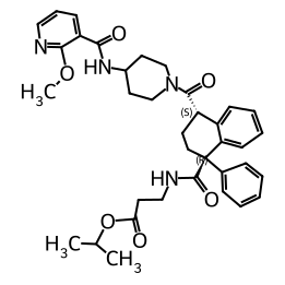 COc1ncccc1C(=O)NC1CCN(C(=O)[C@H]2CC[C@@](C(=O)NCCC(=O)OC(C)C)(c3ccccc3)c3ccccc32)CC1